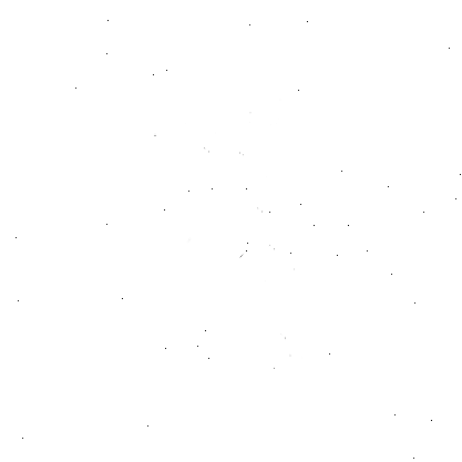 NC(=O)N1CCC(CC(=O)N2CCN(C3CCN(C4c5ccc(Cl)cc5CCc5cc(Br)cnc54)CC3)C[C@@H]2Cc2ccccc2)CC1